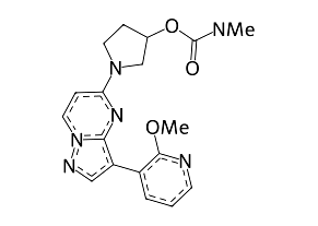 CNC(=O)OC1CCN(c2ccn3ncc(-c4cccnc4OC)c3n2)C1